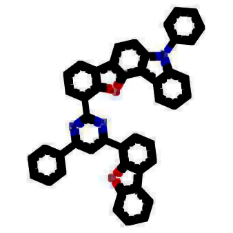 c1ccc(-c2cc(-c3cccc4c3oc3ccccc34)nc(-c3cccc4c3oc3c4ccc4c3c3ccccc3n4-c3ccccc3)n2)cc1